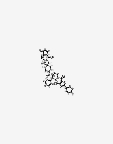 Cc1ccc(-c2cc(Cl)c(C(=O)N3CC[C@@H](C(=O)N4CCC(O)(Cn5cnc6c(ccn6C)c5=O)CC4)[C@H](c4ccccc4)C3)s2)cn1